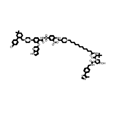 Cc1ncsc1-c1ccc(CNC(=O)[C@@H]2C[C@@H](O)CN2C(=O)[C@@H](NC(=O)CCCCCCCCCCCN2CCC(CNc3ccc(S(=O)(=O)NC(=O)c4ccc(N5CCN(CC6=C(c7ccc(Cl)cc7)CC(C)(C)CC6)CC5)cc4Oc4cnc5[nH]ccc5c4)cc3[N+](=O)[O-])CC2)C(C)(C)C)cc1